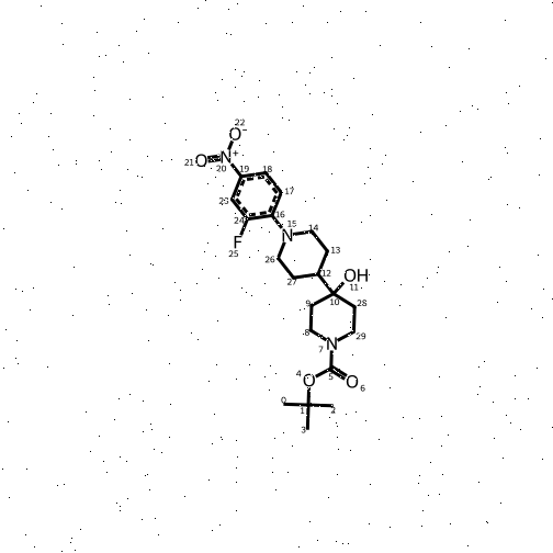 CC(C)(C)OC(=O)N1CCC(O)(C2CCN(c3ccc([N+](=O)[O-])cc3F)CC2)CC1